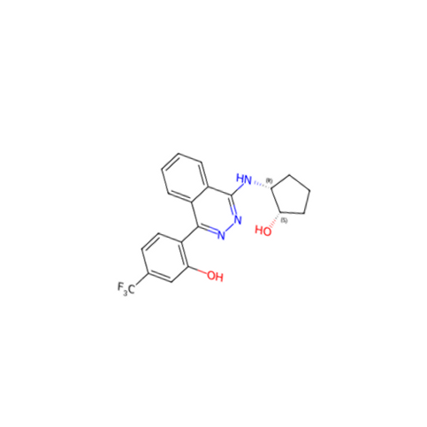 Oc1cc(C(F)(F)F)ccc1-c1nnc(N[C@@H]2CCC[C@@H]2O)c2ccccc12